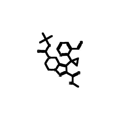 CNC(=O)c1nn2c(c1C1(c3ncccc3C=O)CC1)CN(C(=O)OC(C)(C)C)CC2